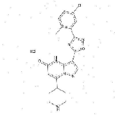 Cc1ccc(Cl)cc1-c1noc(-c2cnn3c(C4CCNCC4)cc(=O)[nH]c23)n1.Cl